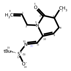 C=CCN1C(=O)C(C)CC=C1/C=N/[S@+]([O-])C(C)(C)C